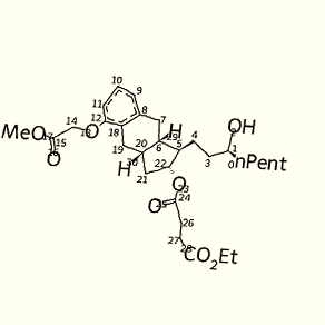 CCCCC[C@H](O)CC[C@@H]1[C@H]2Cc3cccc(OCC(=O)OC)c3C[C@H]2C[C@H]1OC(=O)CCC(=O)OCC